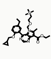 CCOC(=O)c1c(C)n(COCC[Si](C)(C)C)c2c(-c3cc(CC)ccc3OCC3CC3)ncnc12